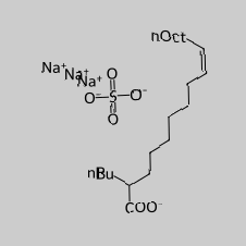 CCCCCCCC/C=C\CCCCCCC(CCCC)C(=O)[O-].O=S(=O)([O-])[O-].[Na+].[Na+].[Na+]